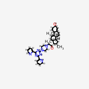 C[C@@H]1C[C@H]2[C@@H]3CCC4=CC(=O)C=C[C@]4(C)C3=CC[C@]2(C)[C@H]1C(=O)CN1CCN(c2nc(-c3ccccn3)nc(-c3ccccn3)n2)CC1